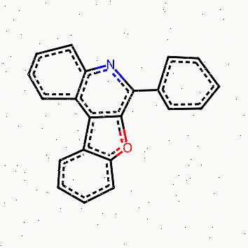 c1ccc(-c2nc3ccccc3c3c2oc2ccccc23)cc1